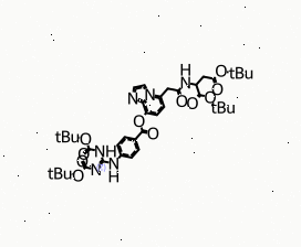 CC(C)(C)OC(=O)CC(NC(=O)Cc1ccc(OC(=O)c2ccc(N/C(=N/C(=O)OC(C)(C)C)NC(=O)OC(C)(C)C)cc2)c2nccn12)C(=O)OC(C)(C)C